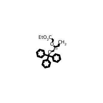 C=C[C@@H](COC(c1ccccc1)(c1ccccc1)c1ccccc1)OCC(=O)OCC